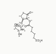 CCOC(N)=O.O=C(O)CCCCC(=O)ON1C(=O)CCC1=O.OCCO